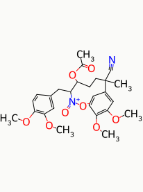 COc1ccc(CC(C(CCC(C)(C#N)c2ccc(OC)c(OC)c2)OC(C)=O)[N+](=O)[O-])cc1OC